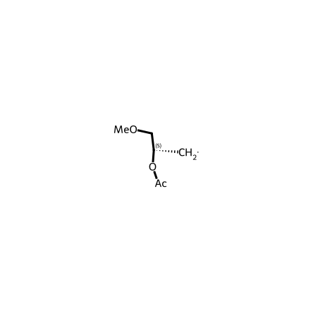 [CH2][C@@H](COC)OC(C)=O